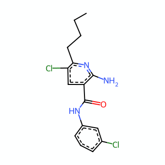 CCCCc1nc(N)c(C(=O)Nc2cccc(Cl)c2)cc1Cl